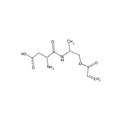 C=CC(=O)OCC(C)NC(=O)C(N)CC(=O)O